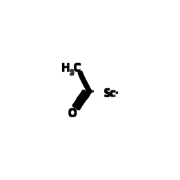 C[C]=O.[Sc]